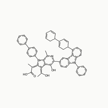 C/C(O)=c1\c(=C(\C)C(=O)O)n(-c2ccc(-c3ccccc3)cc2)c2c(C)nc(-c3ccc4c(c3)c3c(C5C=CC(C6C=CC=CC6)=CC5)cccc3n4-c3ccccc3)c(O)c12